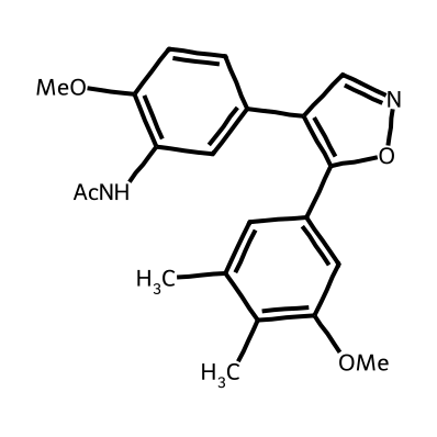 COc1ccc(-c2cnoc2-c2cc(C)c(C)c(OC)c2)cc1NC(C)=O